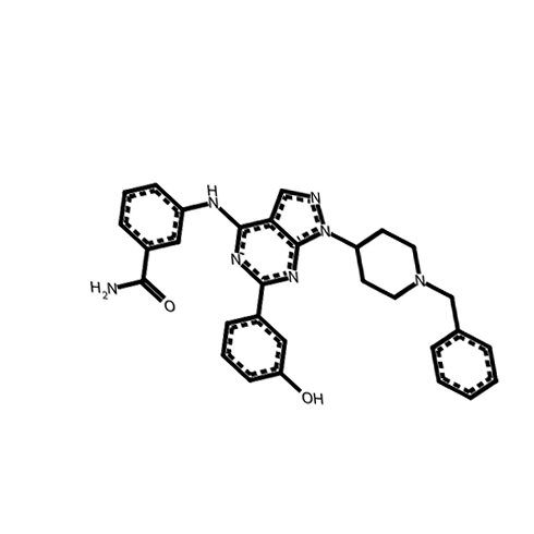 NC(=O)c1cccc(Nc2nc(-c3cccc(O)c3)nc3c2cnn3C2CCN(Cc3ccccc3)CC2)c1